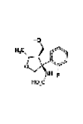 C[C@H]1OC[C@@](NC(=O)O)(c2ccccc2F)[C@@H]1CO